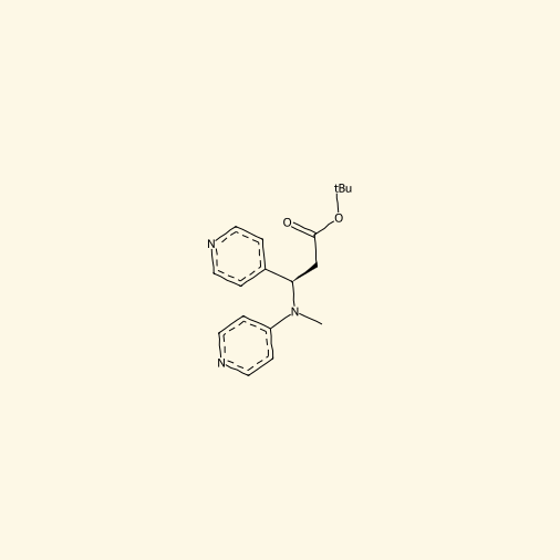 CN(c1ccncc1)[C@H](CC(=O)OC(C)(C)C)c1ccncc1